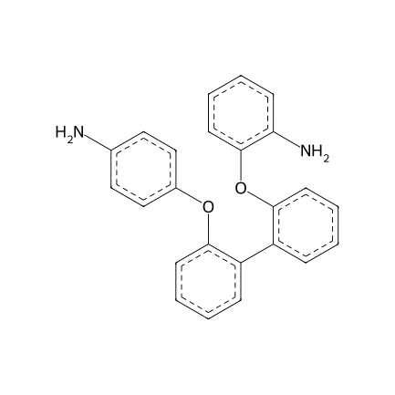 Nc1ccc(Oc2ccccc2-c2ccccc2Oc2ccccc2N)cc1